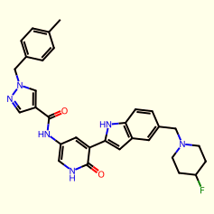 Cc1ccc(Cn2cc(C(=O)Nc3c[nH]c(=O)c(-c4cc5cc(CN6CCC(F)CC6)ccc5[nH]4)c3)cn2)cc1